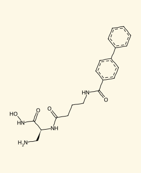 NC[C@H](NC(=O)CCCNC(=O)c1ccc(-c2ccccc2)cc1)C(=O)NO